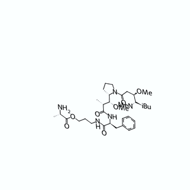 CC[C@H](C)[C@H](NC)[C@@H](CC(=O)N1CCC[C@H]1[C@H](OC)[C@@H](C)C(=O)N[C@@H](Cc1ccccc1)C(=O)NCCCOC(=O)[C@H](C)N)OC